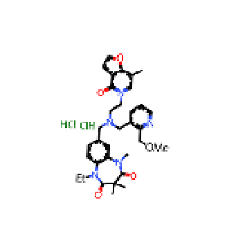 CCN1C(=O)C(C)(C)C(=O)N(C)c2cc(CN(CCn3cc(C)c4occc4c3=O)Cc3cccnc3COC)ccc21.Cl.Cl